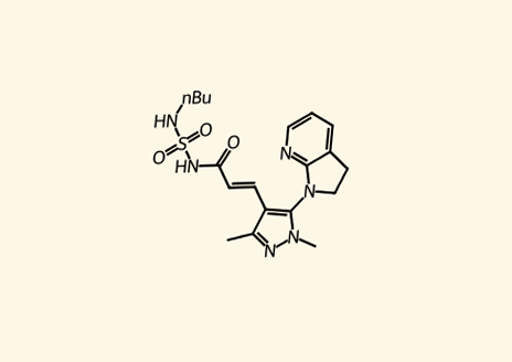 CCCCNS(=O)(=O)NC(=O)/C=C/c1c(C)nn(C)c1N1CCc2cccnc21